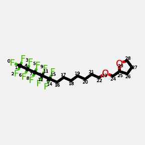 FC(F)(F)C(F)(F)C(F)(F)C(F)(F)C(F)(F)CCCCCCCOCC1CCCO1